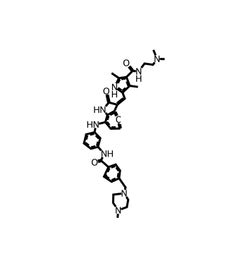 Cc1[nH]c(/C=C2\C(=O)Nc3c(Nc4cccc(NC(=O)c5ccc(CN6CCN(C)CC6)cc5)c4)cccc32)c(C)c1C(=O)NCCN(C)C